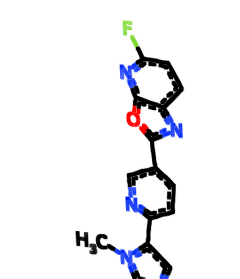 Cn1cncc1-c1ccc(-c2nc3ccc(F)nc3o2)cn1